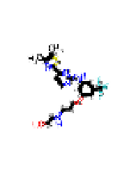 Cc1nc(-c2ccnc(Nc3cc(OCCCNCCO)cc(C(F)(F)F)c3)n2)sc1C